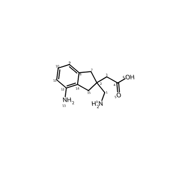 NCC1(CC(=O)O)Cc2cccc(N)c2C1